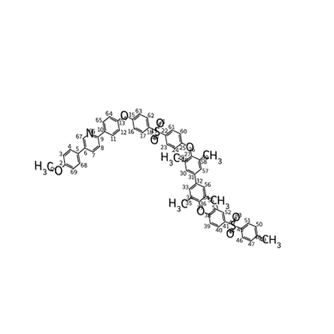 COc1ccc(-c2ccc(-c3ccc(Oc4ccc(S(=O)(=O)c5ccc(Oc6c(C)cc(-c7cc(C)c(Oc8ccc(S(=O)(=O)c9ccc(C)cc9)cc8)c(C)c7)cc6C)cc5)cc4)cc3)nc2)cc1